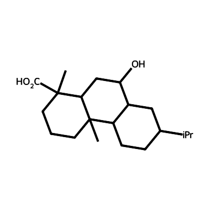 CC(C)C1CCC2C(C1)C(O)CC1C(C)(C(=O)O)CCCC21C